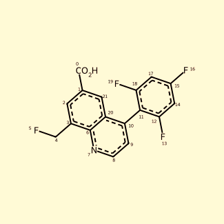 O=C(O)c1cc(CF)c2nccc(-c3c(F)cc(F)cc3F)c2c1